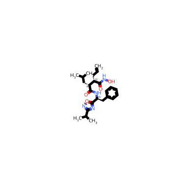 C=CC[C@H](C(=O)NO)[C@@H](CC(C)C)C(=O)N[C@@H](Cc1ccccc1)c1nc(C(C)C)no1